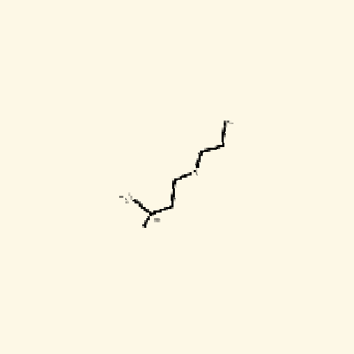 CC(C)CCNCC[C@@H](C)N